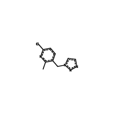 Cc1nc(Cl)ccc1Cn1ccnn1